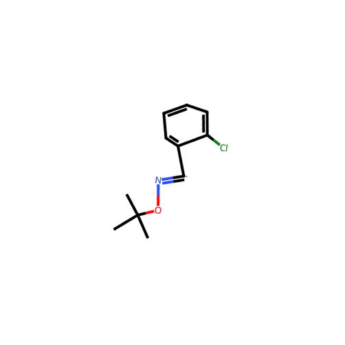 CC(C)(C)O/N=[C]/c1ccccc1Cl